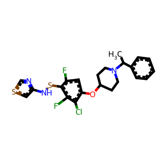 CC(c1ccccc1)N1CCC(Oc2cc(F)c(SNc3cscn3)c(F)c2Cl)CC1